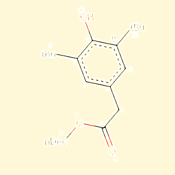 CCCCCCCCCCOC(=O)Cc1cc(C(C)(C)C)c(O)c(C(C)(C)C)c1